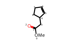 COC(=O)CC1C=CCC1